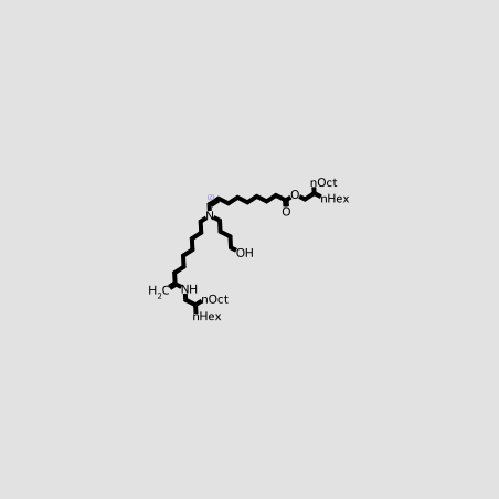 C=C(CCCCCCCN(/C=C\CCCCCCC(=O)OCC(CCCCCC)CCCCCCCC)CCCCO)NCC(CCCCCC)CCCCCCCC